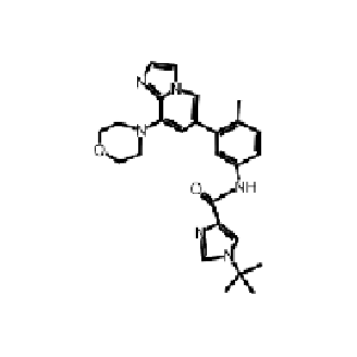 Cc1ccc(NC(=O)c2cn(C(C)(C)C)cn2)cc1-c1cc(N2CCOCC2)c2nccn2c1